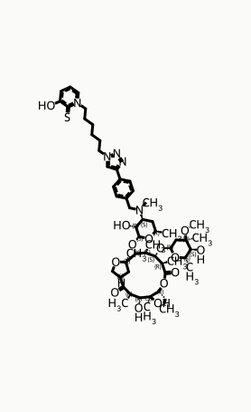 CC[C@H]1OC(=O)[C@H](C)[C@@H](O[C@H]2C[C@@](C)(OC)[C@@H](O)[C@H](C)O2)[C@H](C)[C@@H](O[C@@H]2O[C@H](C)C[C@H](N(C)Cc3ccc(-c4cn(CCCCCCn5cccc(O)c5=S)nn4)cc3)[C@H]2O)[C@@]2(C)C[C@@H](CO2)C(=O)[C@H](C)[C@@H](O)[C@]1(C)O